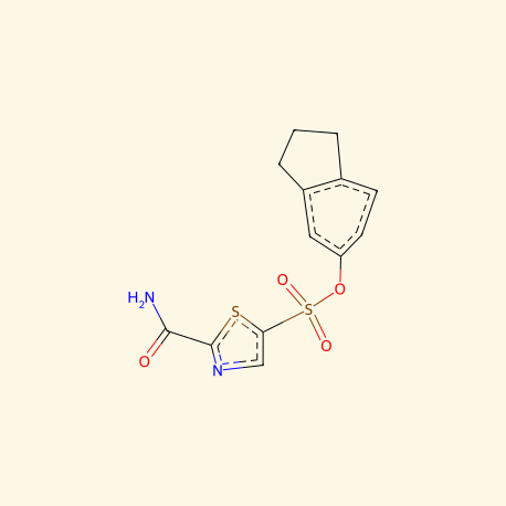 NC(=O)c1ncc(S(=O)(=O)Oc2ccc3c(c2)CCC3)s1